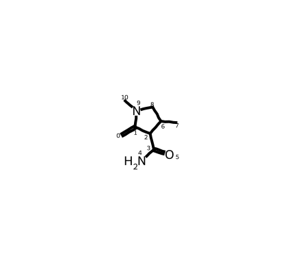 C=C1C(C(N)=O)C(C)CN1C